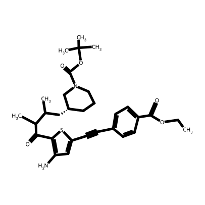 CCOC(=O)c1ccc(C#Cc2cc(N)c(C(=O)C(C)C(C)C[C@H]3CCCN(C(=O)OC(C)(C)C)C3)s2)cc1